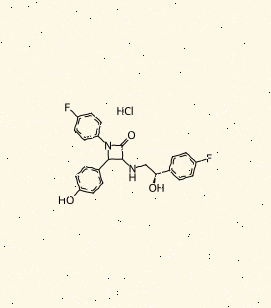 Cl.O=C1C(NC[C@H](O)c2ccc(F)cc2)C(c2ccc(O)cc2)N1c1ccc(F)cc1